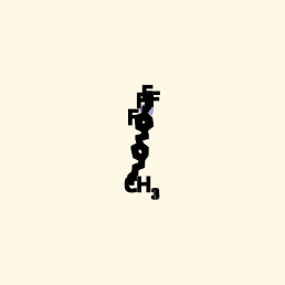 CCCCCC1CCC(CCc2ccc(/C=C/C(F)(F)F)c(F)c2)CC1